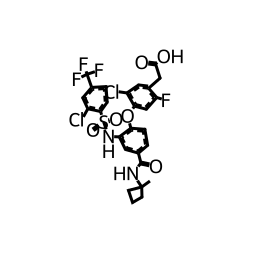 CC1(NC(=O)c2ccc(Oc3cc(F)c(CC(=O)O)cc3Cl)c(NS(=O)(=O)c3ccc(C(F)(F)F)cc3Cl)c2)CCC1